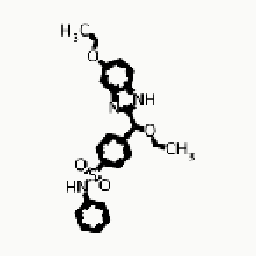 CCOc1ccc2[nH]c(C(OCC)c3ccc(S(=O)(=O)Nc4ccccc4)cc3)nc2c1